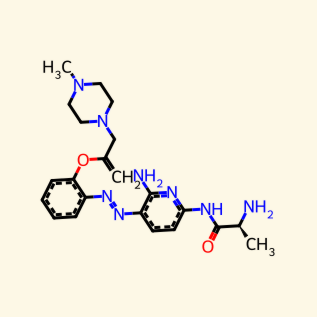 C=C(CN1CCN(C)CC1)Oc1ccccc1/N=N/c1ccc(NC(=O)[C@H](C)N)nc1N